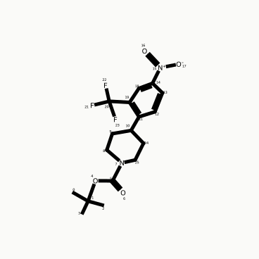 CC(C)(C)OC(=O)N1CCC(c2ccc([N+](=O)[O-])cc2C(F)(F)F)CC1